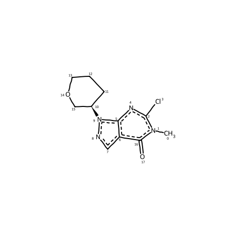 Cn1c(Cl)nc2c(cnn2[C@@H]2CCCOC2)c1=O